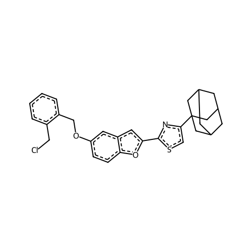 ClCc1ccccc1COc1ccc2oc(-c3nc(C45CC6CC(CC(C6)C4)C5)cs3)cc2c1